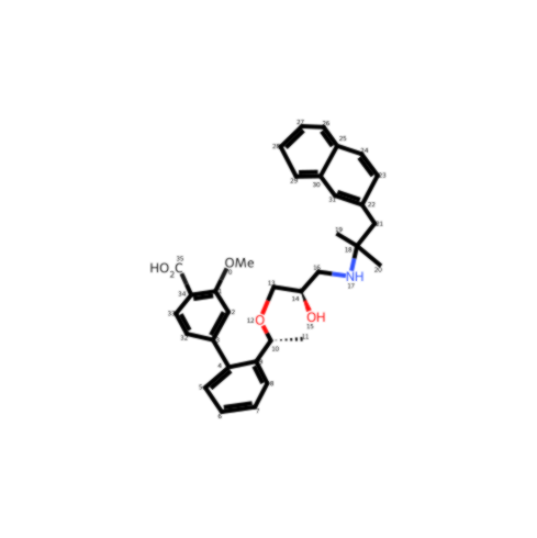 COc1cc(-c2ccccc2[C@@H](C)OC[C@H](O)CNC(C)(C)Cc2ccc3ccccc3c2)ccc1C(=O)O